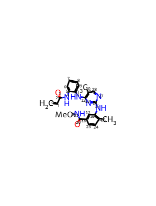 C=CC(=O)Nc1ccccc1Nc1nc(Nc2cc(C(=O)NOC)ccc2C)ncc1C(F)(F)F